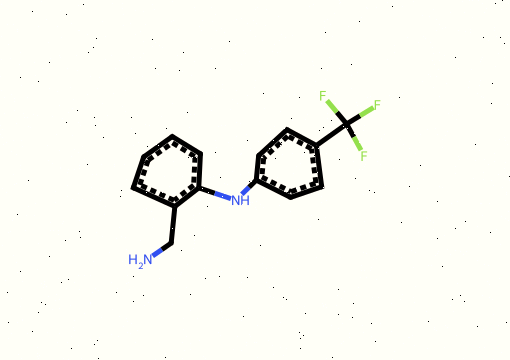 NCc1ccccc1Nc1ccc(C(F)(F)F)cc1